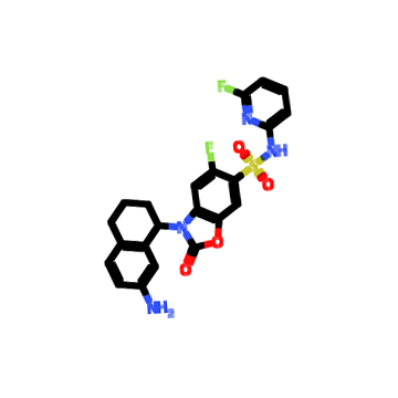 Nc1ccc2c(c1)C(n1c(=O)oc3cc(S(=O)(=O)Nc4cccc(F)n4)c(F)cc31)CCC2